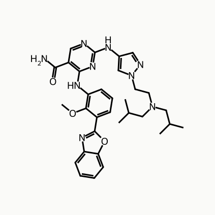 COc1c(Nc2nc(Nc3cnn(CCN(CC(C)C)CC(C)C)c3)ncc2C(N)=O)cccc1-c1nc2ccccc2o1